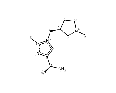 Cc1nc([C@@H](N)C(C)C)cn1C[C@H]1CCN(C)C1